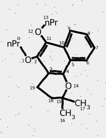 CCCOc1c2c(c3ccccc3c1OCCC)OC(C)(C)CC2